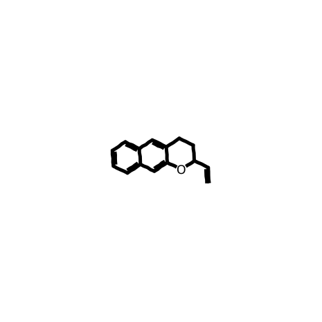 C=CC1CCc2cc3ccccc3cc2O1